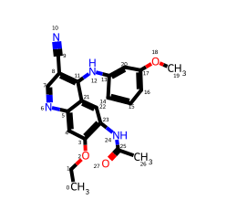 CCOc1cc2ncc(C#N)c(Nc3cccc(OC)c3)c2cc1NC(C)=O